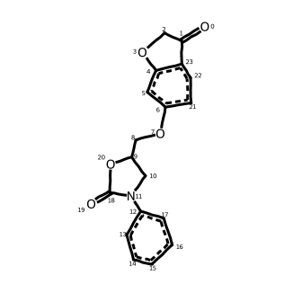 O=C1COc2cc(OCC3CN(c4ccccc4)C(=O)O3)ccc21